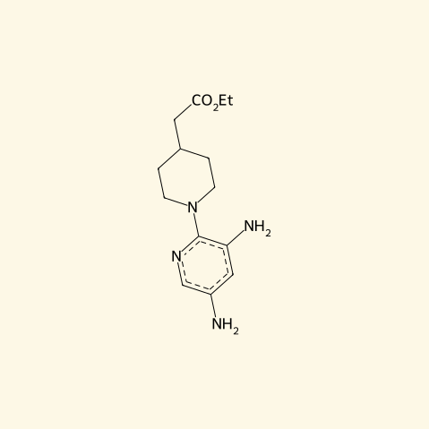 CCOC(=O)CC1CCN(c2ncc(N)cc2N)CC1